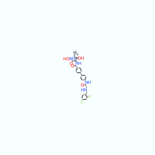 C[C@@H](O)[C@H](NC(=O)c1ccc(-c2ccc(NC(=O)CNCc3ccc(F)cc3F)cc2)cc1)C(=O)NO